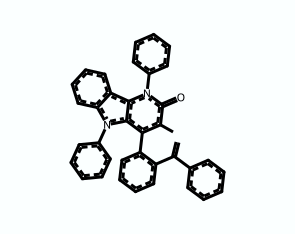 C=C(c1ccccc1)c1ccccc1-c1c(C)c(=O)n(-c2ccccc2)c2c3ccccc3n(-c3ccccc3)c12